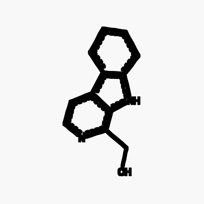 OCc1nccc2c1[nH]c1ccccc12